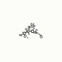 N#Cc1ncc(N2C(=O)C3(CCC3)N(c3ccc(C(=O)NCCCN4CCCC4)c(F)c3)C2=S)cc1C(F)(F)F.O=C(O)C(F)(F)F